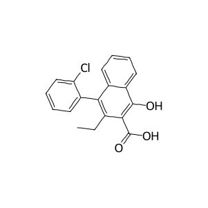 CCc1c(C(=O)O)c(O)c2ccccc2c1-c1ccccc1Cl